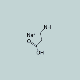 [NH-]CCC(=O)O.[Na+]